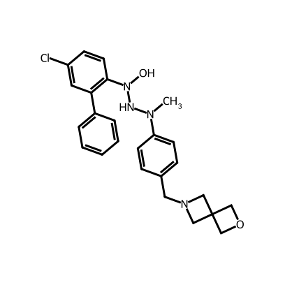 CN(NN(O)c1ccc(Cl)cc1-c1ccccc1)c1ccc(CN2CC3(COC3)C2)cc1